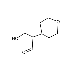 O=CC(CO)C1CCOCC1